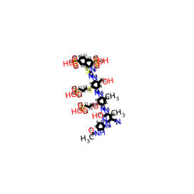 CC(=O)Nc1ccc2c(c1)nc1c(C#N)c(C)c(N=Nc3cc(C)c(N=Nc4cc(CO)c(N=Nc5nc6c(S(=O)(=O)O)cc7ccc(S(=O)(=O)O)cc7c6s5)cc4SCCCS(=O)(=O)O)cc3OCCCS(=O)(=O)O)c(O)n12